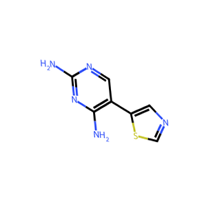 Nc1ncc(-c2cncs2)c(N)n1